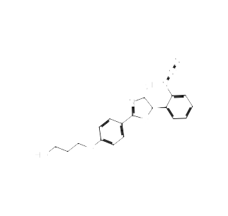 C[C@H]1N=C(c2ccc(OCCCO)cc2)O[C@@H]1c1ccccc1N=[N+]=[N-]